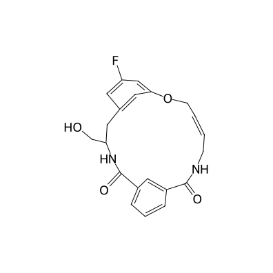 O=C1NCC=CCOc2cc(F)cc(c2)CC(CO)NC(=O)c2cccc1c2